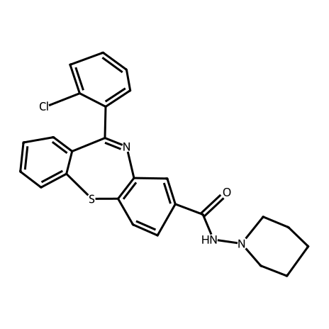 O=C(NN1CCCCC1)c1ccc2c(c1)N=C(c1ccccc1Cl)c1ccccc1S2